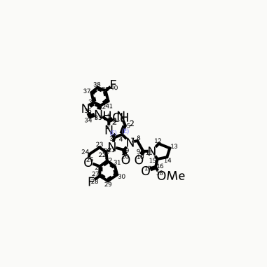 C=C(/N=C1\C(=C/N)N(CC(=O)N2CCCC2C(=O)OC)C(=O)N1[C@@H]1CCOc2c(F)cccc21)n1cnc2ccc(F)cc21